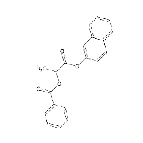 CC(OC(=O)c1ccccc1)C(=O)Oc1ccc2ccccc2c1